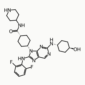 O=C(NC1CCNCC1)[C@H]1CC[C@@H](n2c(Nc3c(F)cccc3F)nc3cnc(N[C@H]4CC[C@H](O)CC4)nc32)CC1